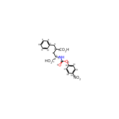 O=C(N[C@@H](CC(Cc1ccccc1)C(=O)O)C(=O)O)Oc1ccc([N+](=O)[O-])cc1